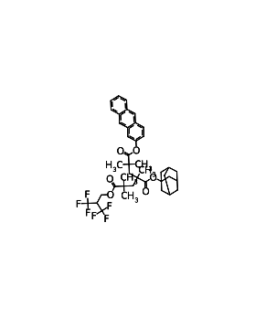 CC(C)(CC(C)(CC(C)(C)C(=O)Oc1ccc2cc3ccccc3cc2c1)C(=O)OC12CC3CC(CC(C3)C1)C2)C(=O)OCC(C(F)(F)F)C(F)(F)F